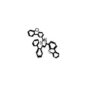 c1ccc(-c2ccccc2-c2cc(-c3cccc4c3sc3ccccc34)nc(-c3ccc4oc5ccccc5c4c3)n2)cc1